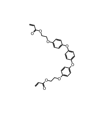 C=CC(=O)OCCOc1ccc(Oc2ccc(Oc3ccc(OCCOC(=O)C=C)cc3)cc2)cc1